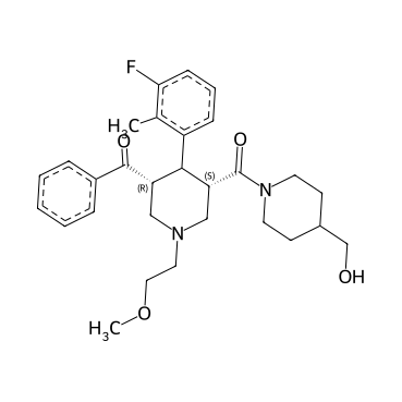 COCCN1C[C@H](C(=O)c2ccccc2)C(c2cccc(F)c2C)[C@H](C(=O)N2CCC(CO)CC2)C1